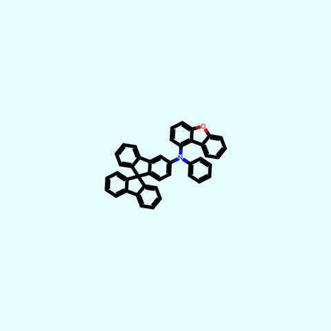 c1ccc(N(c2ccc3c(c2)-c2ccccc2C32c3ccccc3-c3ccccc32)c2cccc3oc4ccccc4c23)cc1